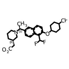 CC1CCC(Oc2ccc3cc([C@H](C)N4CCC[C@H](CC(=O)O)C4)ccc3c2C(F)F)CC1